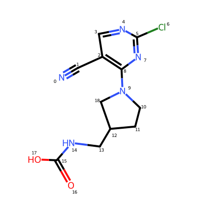 N#Cc1cnc(Cl)nc1N1CCC(CNC(=O)O)C1